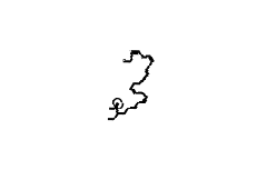 CC/C=C\C/C=C\C/C=C\C/C=C\C/C=C\CCCCC(CC)C(C)=O